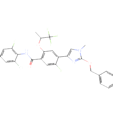 CC(Oc1cc(-c2cn(C)c(OCc3ccccc3)n2)c(F)cc1C(=O)Nc1c(F)cccc1Cl)C(F)(F)F